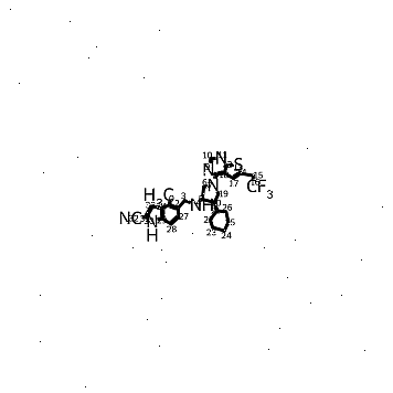 Cc1c(CNC2CN(c3ncnc4sc(CC(F)(F)F)cc34)CC2C2CCCCC2)ccc2[nH]c(C#N)cc12